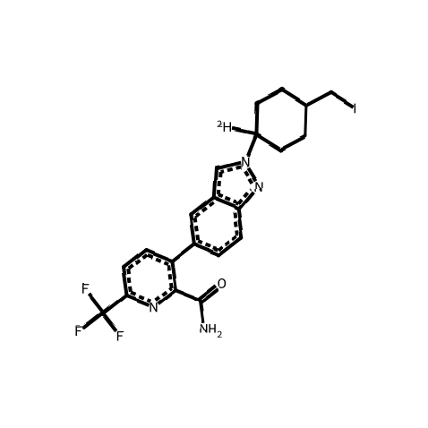 [2H]C1(n2cc3cc(-c4ccc(C(F)(F)F)nc4C(N)=O)ccc3n2)CCC(CI)CC1